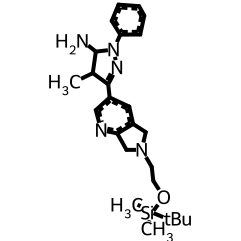 CC1C(c2cnc3c(c2)CN(CCO[Si](C)(C)C(C)(C)C)C3)=NN(c2ccccc2)C1N